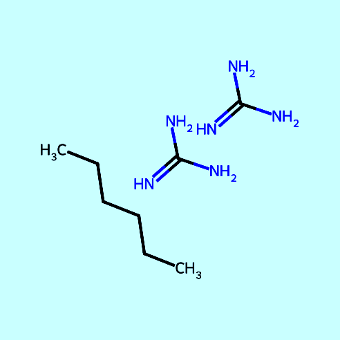 CCCCCC.N=C(N)N.N=C(N)N